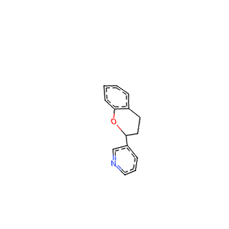 c1cncc(C2CCc3ccccc3O2)c1